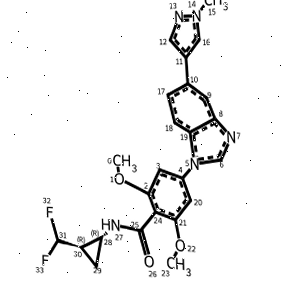 COc1cc(-n2cnc3cc(-c4cnn(C)c4)ccc32)cc(OC)c1C(=O)N[C@@H]1C[C@H]1C(F)F